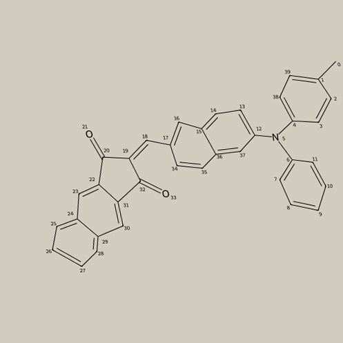 Cc1ccc(N(c2ccccc2)c2ccc3cc(C=C4C(=O)c5cc6ccccc6cc5C4=O)ccc3c2)cc1